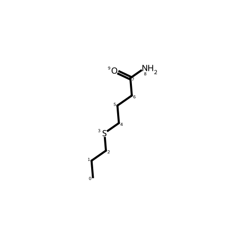 CCCSCCCC(N)=O